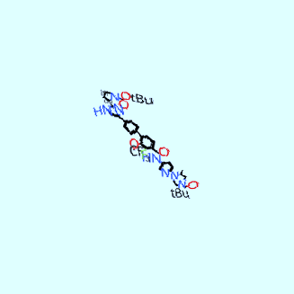 CC1CN(C(=O)C(C)(C)C)CCN1c1ccc(NC(=O)c2ccc(-c3ccc(-c4c[nH]c([C@@H]5C[C@H](C)CN5C(=O)OC(C)(C)C)n4)cc3)c(OC(F)(F)F)c2F)cn1